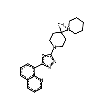 CC1(N2CCCCC2)CCN(c2nnc(-c3cccc4cccnc34)s2)CC1